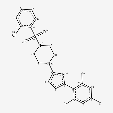 Cc1cc(C)c(-c2csc(N3CCN(S(=O)(=O)c4ccccc4Cl)CC3)n2)c(C)c1